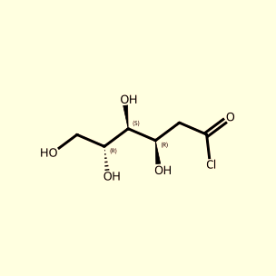 O=C(Cl)C[C@@H](O)[C@H](O)[C@H](O)CO